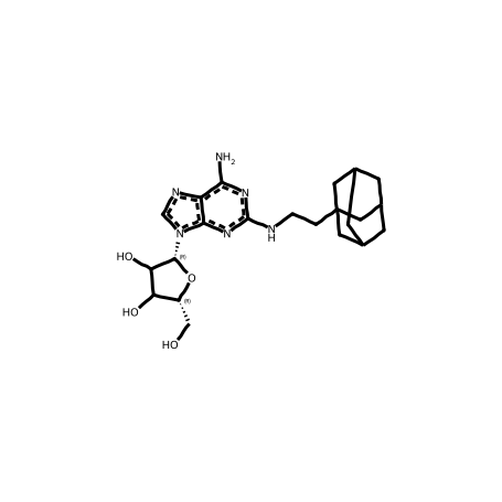 Nc1nc(NCCC23CC4CC(CC(C4)C2)C3)nc2c1ncn2[C@@H]1O[C@H](CO)C(O)C1O